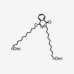 CCCCCCCCCCCCCCCCCCCCOc1nn(CCCCCCCCCCCCCCCCCCCC)c(=O)c2ccccc12